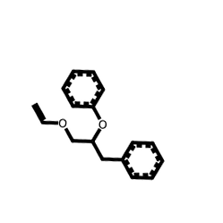 C=COCC(Cc1ccccc1)Oc1ccccc1